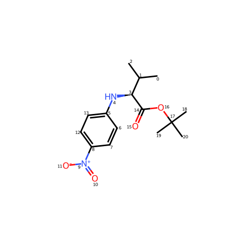 CC(C)[C@H](Nc1ccc([N+](=O)[O-])cc1)C(=O)OC(C)(C)C